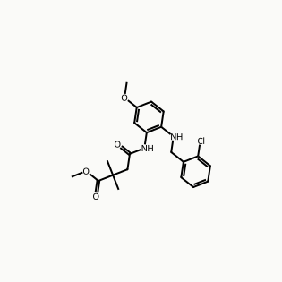 COC(=O)C(C)(C)CC(=O)Nc1cc(OC)ccc1NCc1ccccc1Cl